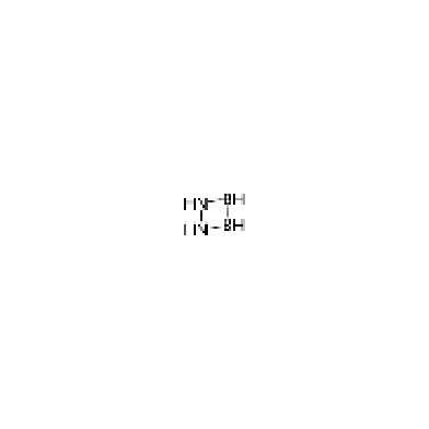 B1BNN1